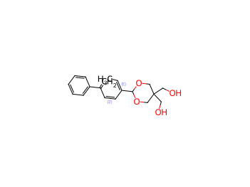 C=C(/C=C\C(=C/C)C1OCC(CO)(CO)CO1)c1ccccc1